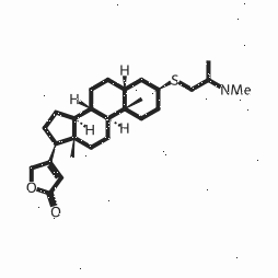 CNC(C)CS[C@H]1CC[C@@]2(C)[C@H](CC[C@@H]3[C@@H]2CC[C@]2(C)[C@@H](C4=CC(=O)OC4)CC[C@@H]32)C1